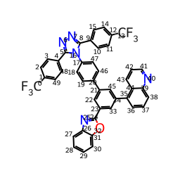 FC(F)(F)c1ccc(-c2nnc(-c3ccc(C(F)(F)F)cc3)n2-c2ccc(-c3cc(-c4nc5ccccc5o4)cc(-c4cccc5ncccc45)c3)cc2)cc1